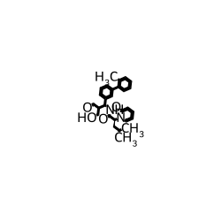 Cc1ccccc1-c1cccc([C@@H](NC(=O)[C@H](CC(C)C)n2ccccc2=O)C(C=O)CO)c1